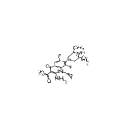 CC1CN(c2c(F)cc3c(=O)c(C(=O)O)c(N)n(C4CC4)c3c2F)CC(C)N1